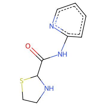 O=C(Nc1ccccn1)C1NCCS1